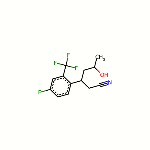 CC(O)CC(CC#N)c1ccc(F)cc1C(F)(F)F